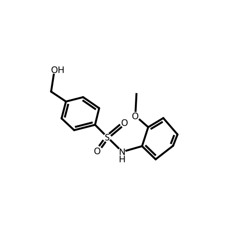 COc1ccccc1NS(=O)(=O)c1ccc(CO)cc1